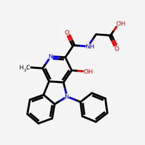 Cc1nc(C(=O)NCC(=O)O)c(O)c2c1c1ccccc1n2-c1ccccc1